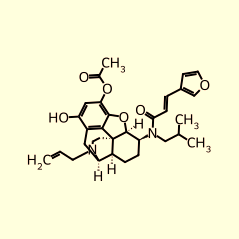 C=CCN1CC[C@]23c4c5c(O)cc(OC(C)=O)c4O[C@H]2[C@@H](N(CC(C)C)C(=O)/C=C/c2ccoc2)CC[C@H]3[C@H]1C5